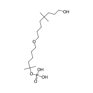 CC(C)(CCCO)CCCCOCCCCC(C)(C)OP(=O)(O)O